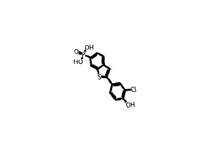 O=P(O)(O)c1ccc2[c]c(-c3ccc(O)c(Cl)c3)sc2c1